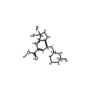 COC(=O)c1cc(CN2CCC[C@H](C)C2)c2c(n1)C(F)(F)CC2